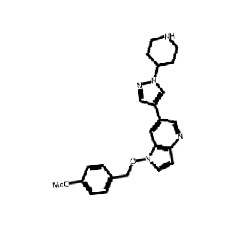 COc1ccc(COn2ccc3ncc(-c4cnn(C5CCNCC5)c4)cc32)cc1